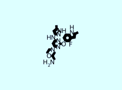 Cc1cc(Nc2cc(N3CCOC(CN)C3)nc(Oc3ccc4[nH]c(C)cc4c3F)n2)n[nH]1